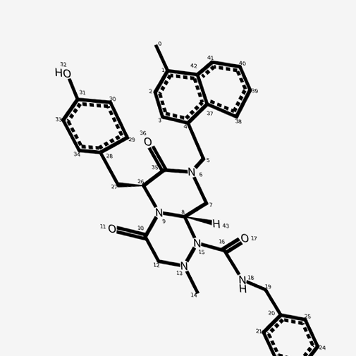 Cc1ccc(CN2C[C@H]3N(C(=O)CN(C)N3C(=O)NCc3ccccc3)[C@@H](Cc3ccc(O)cc3)C2=O)c2ccccc12